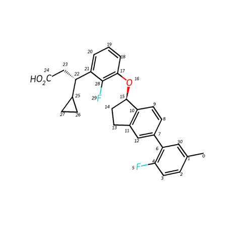 Cc1ccc(F)c(-c2ccc3c(c2)CC[C@H]3Oc2cccc([C@@H](CC(=O)O)C3CC3)c2F)c1